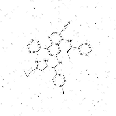 CC[C@@H](Nc1c(C#N)cnc2c(-c3cncnc3)cc(NC(C3=CN(C4CC4)NN3)c3ccc(F)cc3)cc12)c1ccccc1